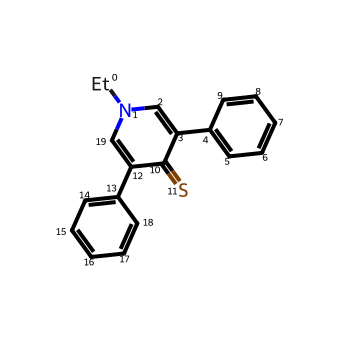 CCn1cc(-c2ccccc2)c(=S)c(-c2ccccc2)c1